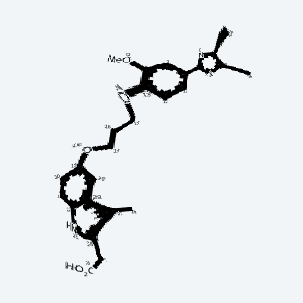 COc1cc(-c2nc(C)c(C)s2)ccc1OCCCOc1ccc2[nH]c(CC(=O)O)c(C)c2c1